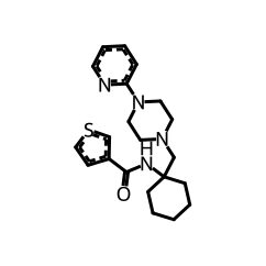 O=C(NC1(CN2CCN(c3ccccn3)CC2)CCCCC1)c1ccsc1